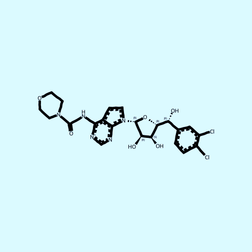 O=C(Nc1ncnc2c1ccn2[C@@H]1O[C@H]([C@H](O)c2ccc(Cl)c(Cl)c2)[C@@H](O)[C@H]1O)N1CCOCC1